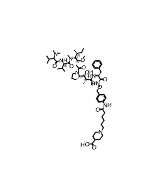 CC[C@H](C)[C@@H]([C@@H](CC(=O)N1CCC[C@H]1[C@H](O)[C@@H](C)C(=O)N[C@@H](Cc1ccccc1)C(=O)NOCc1ccc(NC(=O)CCCCCN2CCC(C(=O)O)CC2)cc1)OC)N(C)C(=O)[C@@H](NC(=O)C(C(C)C)N(C)C)C(C)C